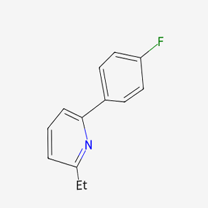 CCc1cccc(-c2ccc(F)cc2)n1